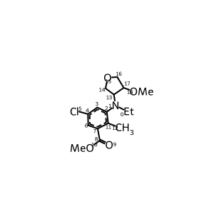 CCN(c1cc(Cl)cc(C(=O)OC)c1C)C1COCC1OC